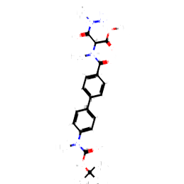 COC(=O)C(C(=O)N(C)N)N(C)C(=O)c1ccc(-c2ccc(N(C)C(=O)OC(C)(C)C)cc2)cc1